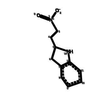 O=[N+]([O-])CCC1Cc2ccccc2N1